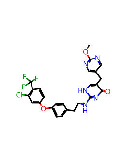 COc1ncc(Cc2c[nH]c(NCCc3ccc(Oc4ccc(C(F)(F)F)c(Cl)c4)cc3)nc2=O)cn1